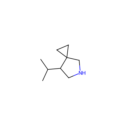 CC(C)C1CNCC12CC2